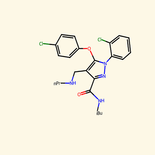 CCCNCc1c(C(=O)NC(C)CC)nn(-c2ccccc2Cl)c1Oc1ccc(Cl)cc1